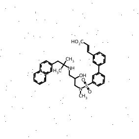 CN(CC(O)CNC(C)(C)Cc1ccc2ccccc2c1)S(=O)(=O)c1cccc(-c2cccc(C=CC(=O)O)c2)c1